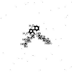 Cc1ccccc1-c1ccc(C)c(OP(=O)(O)F)c1I.O=P(O)(O)F.O=P(O)(O)F.O=P(O)(O)F.O=P(O)(O)F.O=P(O)(O)F